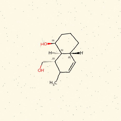 CC1C=C[C@H]2CCC[C@H](O)[C@@H]2[C@H]1CO